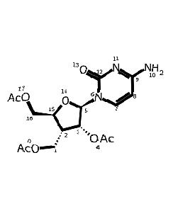 CC(=O)OC[C@H]1[C@@H](OC(C)=O)[C@H](n2ccc(N)nc2=O)O[C@@H]1COC(C)=O